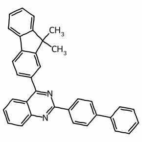 CC1(C)c2ccccc2-c2ccc(-c3nc(-c4ccc(-c5ccccc5)cc4)nc4ccccc34)cc21